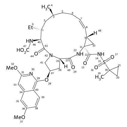 CC[C@@H]1C[C@@H](C)CC/C=C\[C@@H]2C[C@@]2(C(=O)NS(=O)(=O)C2(C)CC2)NC(=O)[C@@H]2C[C@@H](Oc3nc(OC)cc4cc(OC)ccc34)CN2C(=O)[C@H]1NC(=O)O